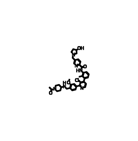 COc1cc(-c2nccc(-c3cccc(NC(=O)c4ccc(CN5CCC(O)C5)cn4)c3C)c2Cl)ccc1CNC1CCN(C(C)=O)CC1